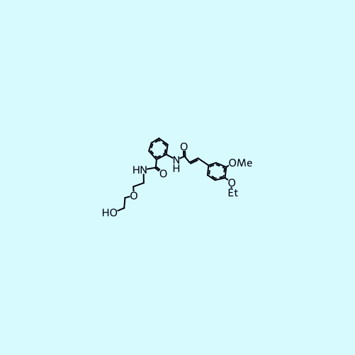 CCOc1ccc(/C=C/C(=O)Nc2ccccc2C(=O)NCCOCCO)cc1OC